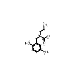 CCCN(Cc1cc(N)ccc1O)C(=O)O